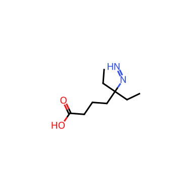 CCC(CC)(CCCC(=O)O)N=N